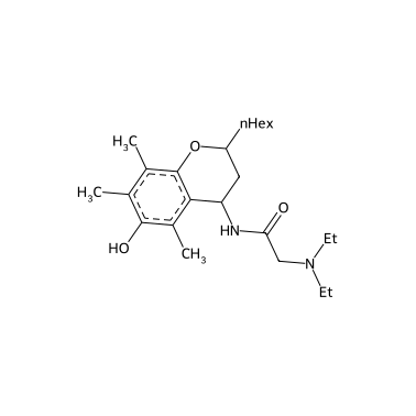 CCCCCCC1CC(NC(=O)CN(CC)CC)c2c(C)c(O)c(C)c(C)c2O1